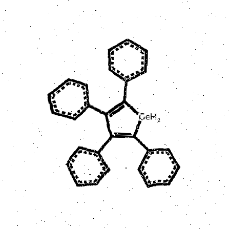 c1ccc([C]2=C(c3ccccc3)C(c3ccccc3)=[C](c3ccccc3)[GeH2]2)cc1